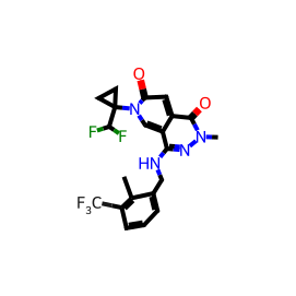 Cc1c(CNc2nn(C)c(=O)c3cc(=O)n(C4(C(F)F)CC4)cc23)cccc1C(F)(F)F